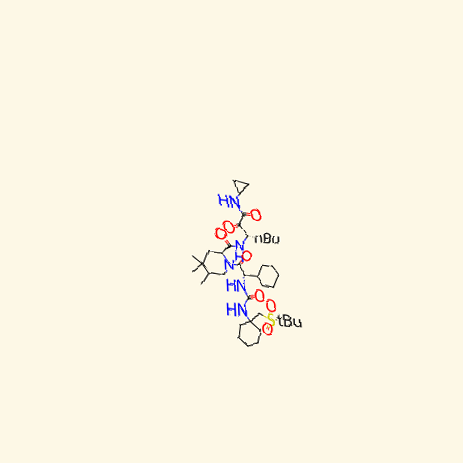 CCCC[C@H](NC(=O)[C@@H]1CC(C)(C)C(C)CN1C(=O)[C@@H](NC(=O)NC1(CS(=O)(=O)C(C)(C)C)CCCCC1)C1CCCCC1)C(=O)C(=O)NC1CC1